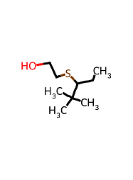 CCC(SCCO)C(C)(C)C